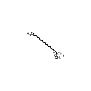 CCCCCCCCCCCCCCCCOCC(C)OC